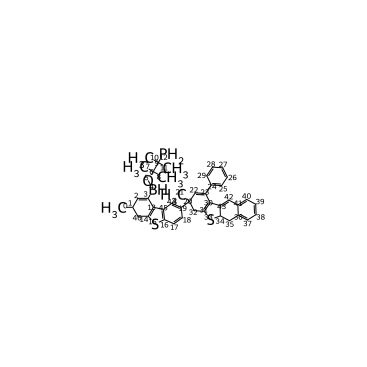 CC1C=C(BOC(C)(C)C(C)(C)P)c2c(sc3ccc(C4(C)C=C(c5ccccc5)C5=C(C4)SC4Cc6ccccc6C=C54)cc23)C1